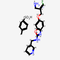 Cc1ccc(S(=O)(=O)O)cc1.NC/C(=C\F)COc1ccc2nc(NCc3cccnc3)oc2c1